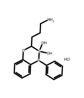 Cl.NCCCC1Oc2ccccc2N(c2ccccc2)S1(O)O